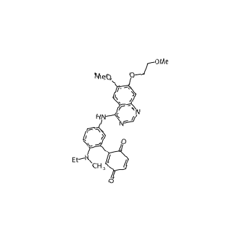 CCN(C)c1ccc(Nc2ncnc3cc(OCCOC)c(OC)cc23)cc1C1=CC(=O)C=CC1=O